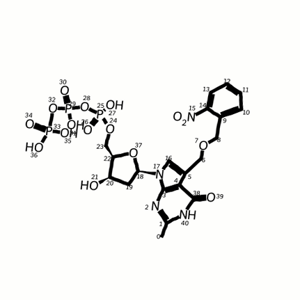 Cc1nc2c(c(COCc3ccccc3[N+](=O)[O-])cn2[C@H]2C[C@@H](O)[C@@H](COP(=O)(O)OP(=O)(O)OP(=O)(O)O)O2)c(=O)[nH]1